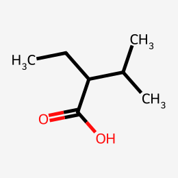 CCC(C(=O)O)C(C)C